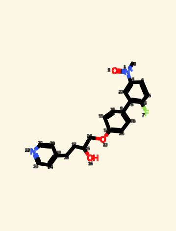 C[N+](=O)c1ccc(F)c(-c2ccc(OCC(O)CCc3ccncc3)cc2)c1